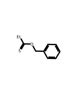 CCC(=S)OCc1ccccc1